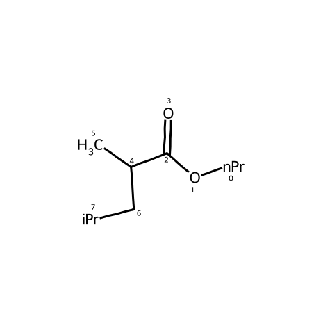 CCCOC(=O)C(C)CC(C)C